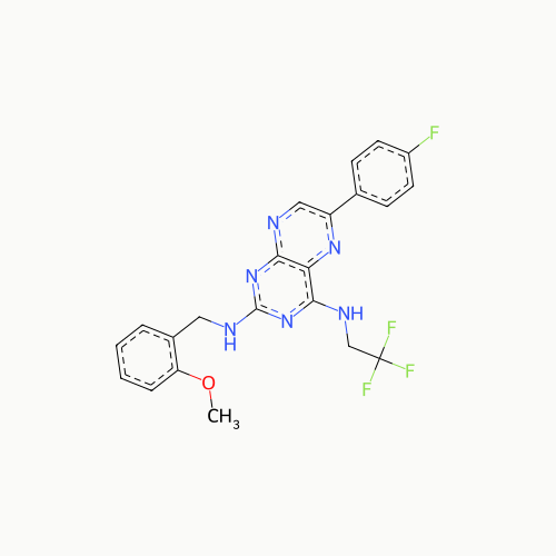 COc1ccccc1CNc1nc(NCC(F)(F)F)c2nc(-c3ccc(F)cc3)cnc2n1